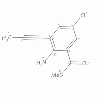 CC#Cc1cc(Cl)cc(C(=O)OC)c1N